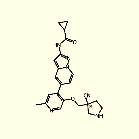 Cc1cc(-c2ccn3nc(NC(=O)C4CC4)cc3c2)c(OC[C@]2(C#N)CCNC2)cn1